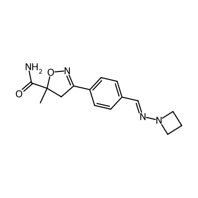 CC1(C(N)=O)CC(c2ccc(C=NN3CCC3)cc2)=NO1